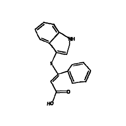 O=C(O)C=C(Sc1c[nH]c2ccccc12)c1ccccc1